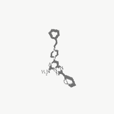 Nc1nc(N2CCN(CCc3ccccc3)CC2)cc2nc(-c3ccco3)nn12